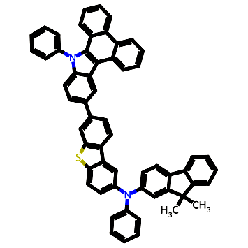 CC1(C)c2ccccc2-c2ccc(N(c3ccccc3)c3ccc4sc5cc(-c6ccc7c(c6)c6c8ccccc8c8ccccc8c6n7-c6ccccc6)ccc5c4c3)cc21